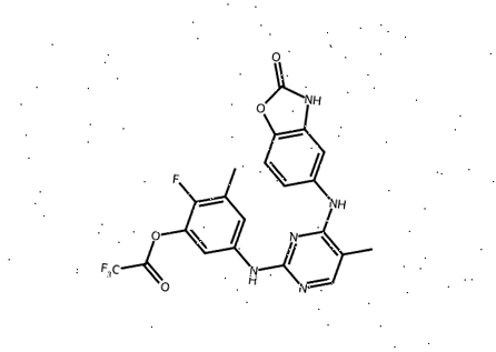 Cc1cnc(Nc2cc(C)c(F)c(OC(=O)C(F)(F)F)c2)nc1Nc1ccc2oc(=O)[nH]c2c1